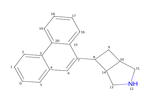 c1ccc2c(c1)cc(C1CC3CNCC31)c1ccccc12